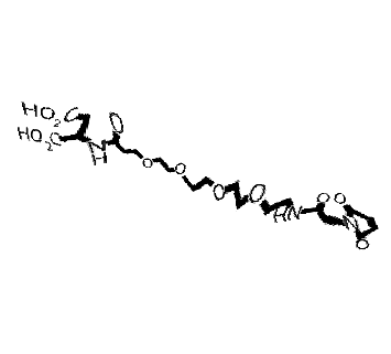 O=C(O)CC(NC(=O)CCOCCOCCOCCOCCNC(=O)CN1C(=O)C=CC1=O)C(=O)O